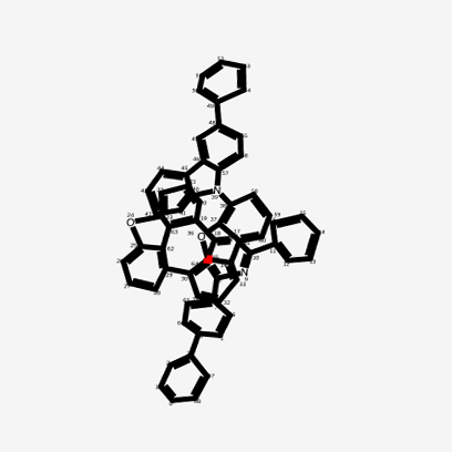 c1ccc(-c2ccc(-c3nc(-c4ccccc4)nc(-c4cccc5oc6cccc(-c7cccc8c7oc7c(-n9c%10ccccc%10c%10cc(-c%11ccccc%11)ccc%109)cccc78)c6c45)n3)cc2)cc1